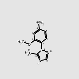 COc1cc(N)ccc1-n1ncnc1C